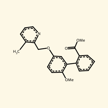 COC(=O)c1ccccc1-c1cc(OCc2ncccc2C)ccc1OC